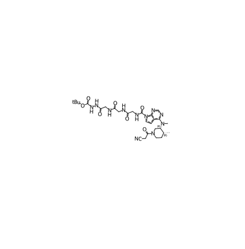 C[C@@H]1CCN(C(=O)CC#N)C[C@@H]1N(C)c1ncnc2c1ccn2C(=O)NCC(=O)NCC(=O)NCC(=O)NNC(=O)OC(C)(C)C